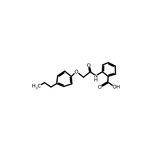 CCCc1ccc(OCC(=O)Nc2ccccc2C(=O)O)cc1